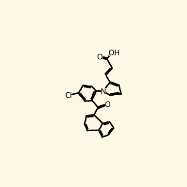 O=C(O)/C=C/c1cccn1-c1ccc(Cl)cc1C(=O)c1cccc2ccccc12